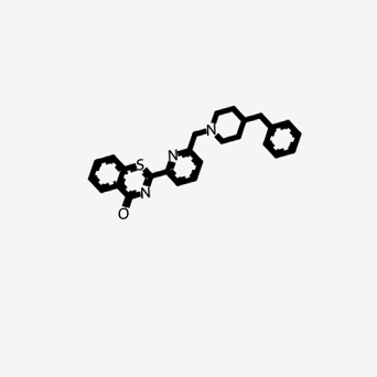 O=c1nc(-c2cccc(CN3CCC(Cc4ccccc4)CC3)n2)sc2ccccc12